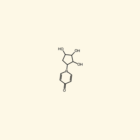 O=c1ccn(C2CC(O)C(O)C2O)cc1